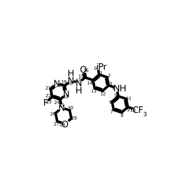 CC(C)c1cc(Nc2cccc(C(F)(F)F)c2)ccc1C(=O)NNc1ncc(F)c(N2CCOCC2)n1